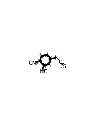 [C-]#[N+]c1ccc(N=C=S)cc1[N+]#[C-]